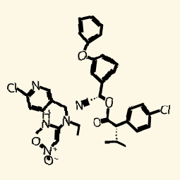 CC(C)[C@H](C(=O)O[C@H](C#N)c1cccc(Oc2ccccc2)c1)c1ccc(Cl)cc1.CCN(Cc1ccc(Cl)nc1)/C(=C/[N+](=O)[O-])NC